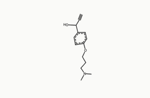 C#CC(O)c1ccc(OCCCN(C)C)cc1